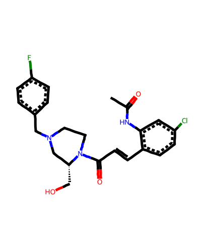 CC(=O)Nc1cc(Cl)ccc1/C=C/C(=O)N1CCN(Cc2ccc(F)cc2)C[C@H]1CO